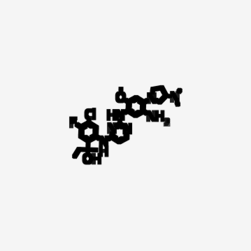 CCC(C)(O)c1cc(F)c(Cl)cc1Nc1ccnc(Nc2cc(N)c(N3CC[C@@H](N(C)C)C3)cc2OC)n1